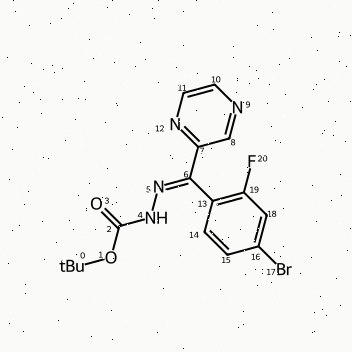 CC(C)(C)OC(=O)N/N=C(/c1cnccn1)c1ccc(Br)cc1F